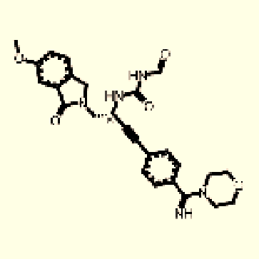 COc1ccc2c(c1)C(=O)N(C[C@@H](C#Cc1ccc(C(=N)N3CCOCC3)cc1)NC(=O)NC=O)C2